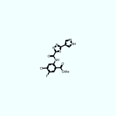 COC(=O)c1cc(F)c(Cl)cc1NC(=O)c1nnc(-c2cn[nH]c2)s1